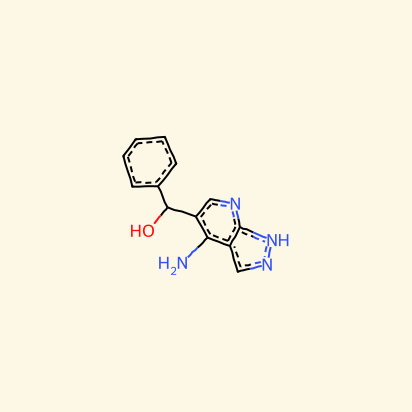 Nc1c(C(O)c2ccccc2)cnc2[nH]ncc12